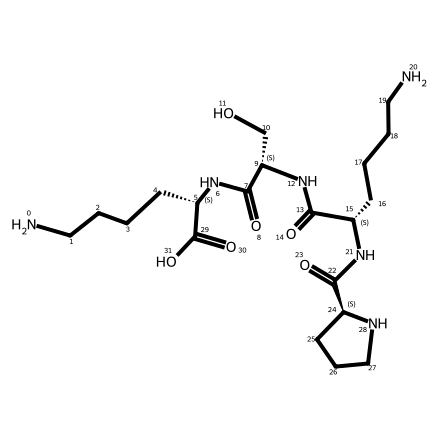 NCCCC[C@H](NC(=O)[C@H](CO)NC(=O)[C@H](CCCCN)NC(=O)[C@@H]1CCCN1)C(=O)O